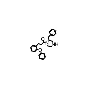 O=C(CCc1ccccc1Oc1ccccc1)N1CCNCC1Cc1cc[c]cc1